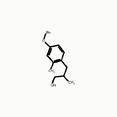 CCC(C)Oc1ccc(CC(C)CO)c(C)c1